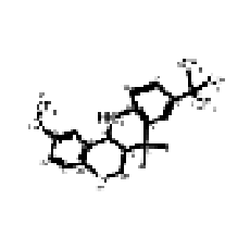 CC1(C)c2cc(C(O)(C(F)(F)F)C(F)(F)F)ccc2NC2c3cc(OC(F)(F)F)ccc3SCC21